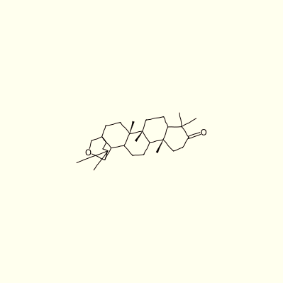 CC1(C)CCC23CC[C@@]4(C)C(CCC5[C@@]6(C)CCC(=O)C(C)(C)C6CC[C@]54C)C2C1OC3